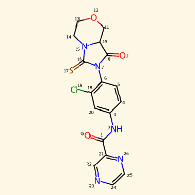 O=C(Nc1ccc(N2C(=O)C3COCCN3C2=S)c(Cl)c1)c1cnccn1